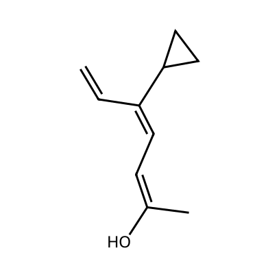 C=C/C(=C\C=C(/C)O)C1CC1